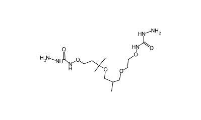 CC(COCCONC(=O)NN)COC(C)(C)CCONC(=O)NN